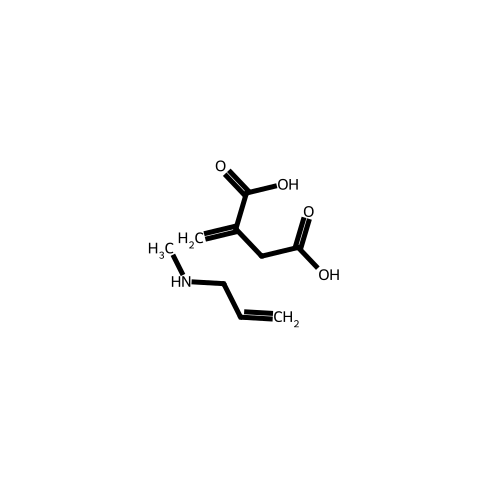 C=C(CC(=O)O)C(=O)O.C=CCNC